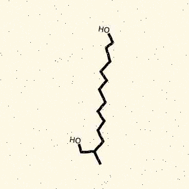 CC(CO)CCCCCCCCCCCO